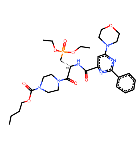 CCCCOC(=O)N1CCN(C(=O)[C@H](CP(=O)(OCC)OCC)NC(=O)c2cc(N3CCOCC3)nc(-c3ccccc3)n2)CC1